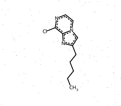 CCCCCc1cn2ccnc(Cl)c2n1